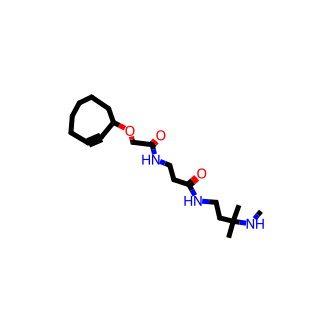 CNC(C)(C)CCNC(=O)CCNC(=O)COC1C#CCCCCC1